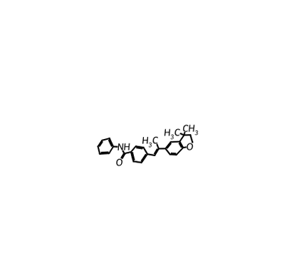 CC(=Cc1ccc(C(=O)Nc2ccccc2)cc1)c1ccc2c(c1)C(C)(C)CCO2